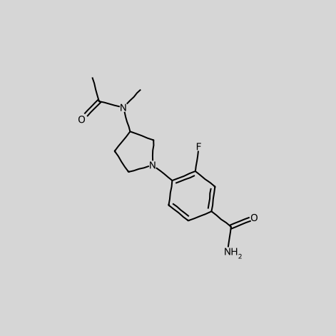 CC(=O)N(C)C1CCN(c2ccc(C(N)=O)cc2F)C1